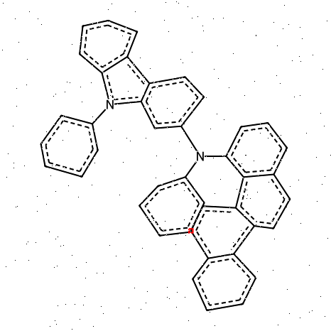 c1ccc(N(c2ccc3c4ccccc4n(-c4ccccc4)c3c2)c2cccc3ccc4c5ccccc5ccc4c23)cc1